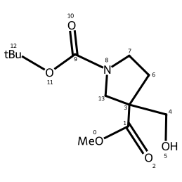 COC(=O)C1(CO)CCN(C(=O)OC(C)(C)C)C1